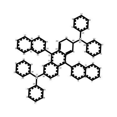 C1=c2c(-c3ccc4ccccc4c3)c3ccc(N(c4ccccc4)c4ccccc4)cc3c(-c3ccc4ccccc4c3)c2=CCC1N(c1ccccc1)c1ccccc1